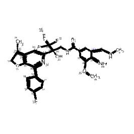 CN/C=C1/C=C(C(=O)NC[C@](O)(c2cc3c(c(-c4ccc(F)cc4)n2)OC[C@H]3C)C(F)(F)F)C=C(OC)C1=N